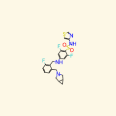 O=S(=O)(Nc1cscn1)c1c(F)cc(NCc2c(F)cccc2CN2CC3CC3C2)cc1F